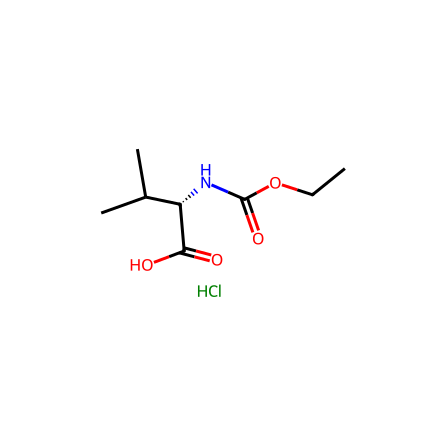 CCOC(=O)N[C@H](C(=O)O)C(C)C.Cl